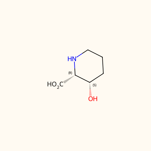 O=C(O)[C@@H]1NCCC[C@@H]1O